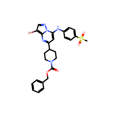 CS(=O)(=O)c1ccc(Nc2cc(C3CCN(C(=O)OCc4ccccc4)CC3)nc3c(Br)cnn23)cc1